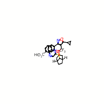 O=C(O)c1cccc2nc(SC3[C@@H]4CC[C@H]3CC(OCc3c(-c5ccccc5OC(F)(F)F)noc3C3CC3)C4)cnc12